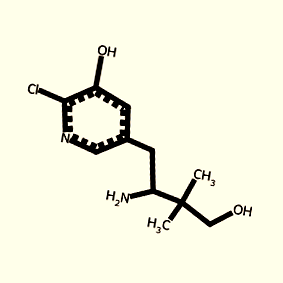 CC(C)(CO)C(N)Cc1cnc(Cl)c(O)c1